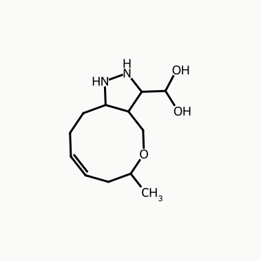 CC1C/C=C\CCC2NNC(C(O)O)C2CO1